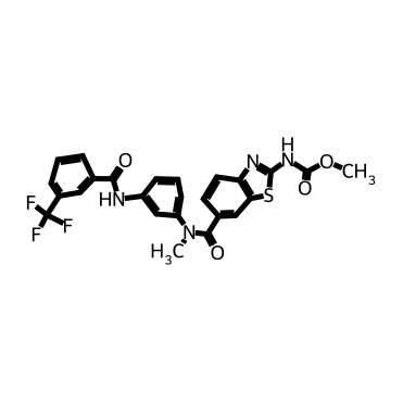 COC(=O)Nc1nc2ccc(C(=O)N(C)c3cccc(NC(=O)c4cccc(C(F)(F)F)c4)c3)cc2s1